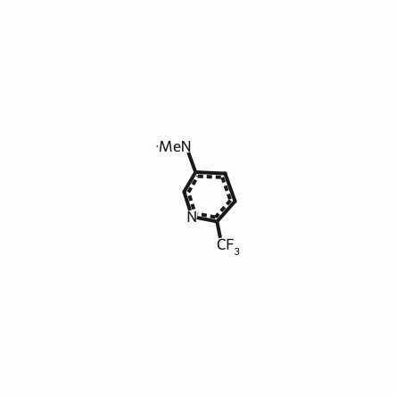 C[N]c1ccc(C(F)(F)F)nc1